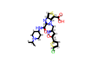 CC(C)N1CCC(NC(=O)c2nc3csc(C(=O)O)c3n2Cc2cc(-c3ccc(Cl)s3)on2)CC1